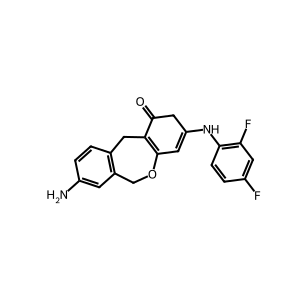 Nc1ccc2c(c1)COC1=C(C2)C(=O)CC(Nc2ccc(F)cc2F)=C1